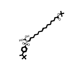 CC(c1ccc(S(=O)(=O)N(CCCCCCCCCCCCCCC(=O)OC(C)(C)C)B(O)O)cc1)C(C)(C)C